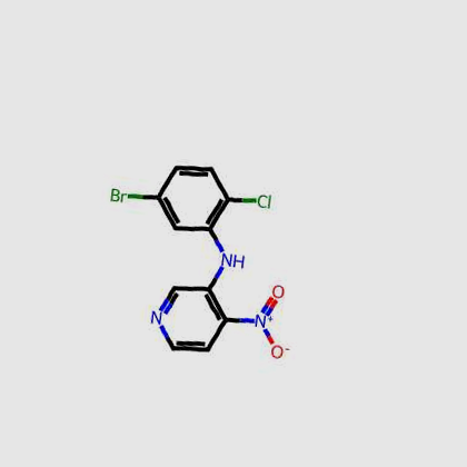 O=[N+]([O-])c1ccncc1Nc1cc(Br)ccc1Cl